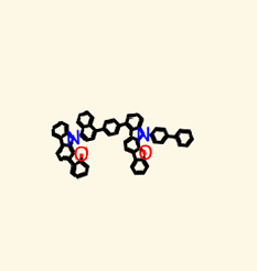 c1ccc(-c2ccc(-n3c4cccc(-c5ccc(-c6ccc(-n7c8ccccc8c8ccc9c%10ccccc%10oc9c87)c7ccccc67)cc5)c4c4ccc5c6ccccc6oc5c43)cc2)cc1